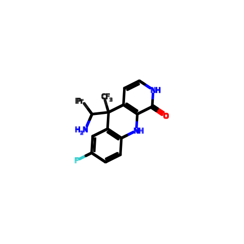 CC(C)C(N)C1(C(F)(F)F)c2cc(F)ccc2Nc2c1cc[nH]c2=O